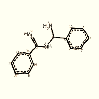 N=C(NC(N)c1ccccc1)c1ccccc1